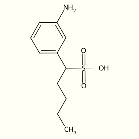 CCCCC(c1cccc(N)c1)S(=O)(=O)O